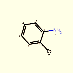 C[CH]c1ccccc1N